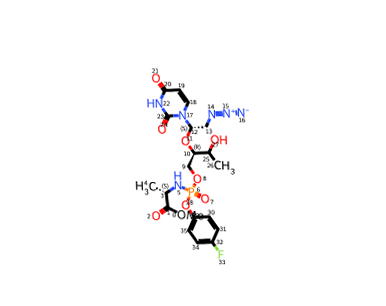 COC(=O)[C@H](C)NP(=O)(OC[C@@H](O[C@@H](CN=[N+]=[N-])n1ccc(=O)[nH]c1=O)C(C)O)Oc1ccc(F)cc1